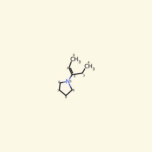 CC=C(CC)N1CCCC1